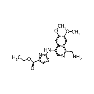 CCOC(=O)c1csc(Nc2cnc(CN)c3cc(OC)c(OC)cc23)n1